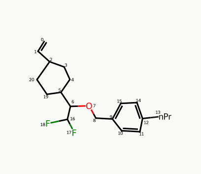 C=CC1CCC(C(OCc2ccc(CCC)cc2)C(F)F)CC1